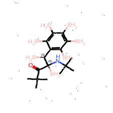 Bc1c(B)c(B)c([C@H](B)[C@](B)(NC(C)(C)C)C(=O)C(C)(C)C)c(B)c1B